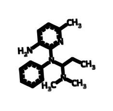 CCC(N(C)C)N(c1ccccc1)c1nc(C)ccc1N